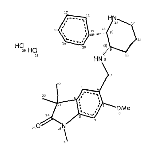 COc1cc2c(cc1CN[C@H]1CCCN[C@H]1c1ccccc1)C(C)(C)C(=O)N2C.Cl.Cl